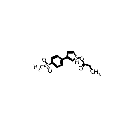 CCC(=O)O[SH]1C=CC(c2ccc(S(C)(=O)=O)cc2)=C1